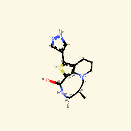 C[C@@H]1CN2CCCc3c(-c4cn[nH]c4)sc(c32)C(=O)N[C@H]1C